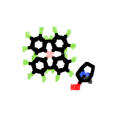 C[NH+]1C2CCC1CC(O)C2.Fc1c(F)c(F)c([B-](c2c(F)c(F)c(F)c(F)c2F)(c2c(F)c(F)c(F)c(F)c2F)c2c(F)c(F)c(F)c(F)c2F)c(F)c1F